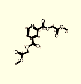 COC(=O)COC(=O)c1ccnc(C(=O)OCC(=O)OC)c1